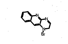 BrN1CC=Nc2nc3ccccc3cc21